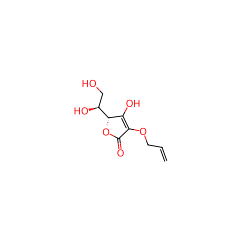 C=CCOC1=C(O)[C@@H]([C@@H](O)CO)OC1=O